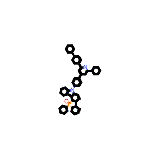 O=P1(c2ccccc2)c2ccccc2-c2ccc3c(c21)c1ccccc1n3-c1ccc(-c2cc(-c3ccccc3)nc(-c3ccc(-c4ccccc4)cc3)c2)cc1